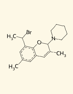 CC1=Cc2cc(C)cc(C(C)Br)c2OC1N1CCCCC1